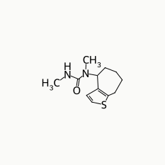 CNC(=O)N(C)C1CCCCc2sccc21